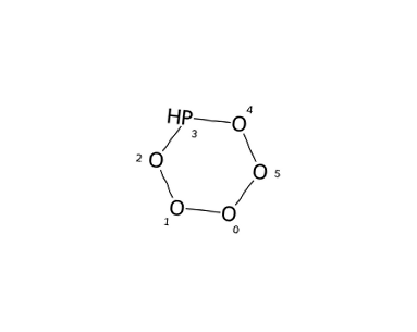 O1OOPOO1